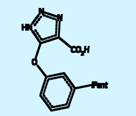 CCCC(C)c1cccc(Oc2[nH]nnc2C(=O)O)c1